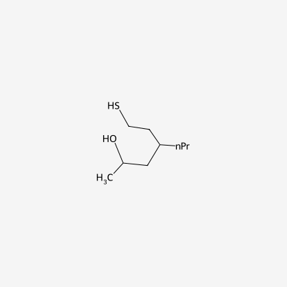 CCCC(CCS)CC(C)O